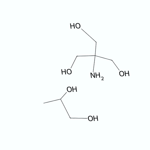 CC(O)CO.NC(CO)(CO)CO